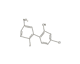 N#Cc1cc(Cl)ccc1-c1cc([N+](=O)[O-])ccc1F